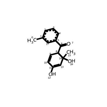 Cc1cccc(C(=O)C2C=CC(O)=CC2(C)O)c1